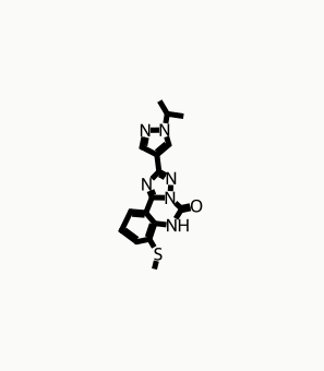 CSc1cccc2c1[nH]c(=O)n1nc(-c3cnn(C(C)C)c3)nc21